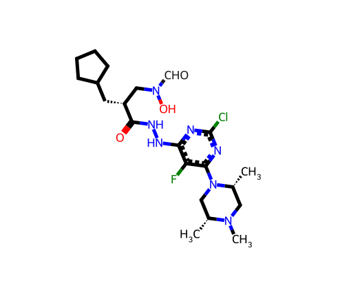 C[C@@H]1CN(c2nc(Cl)nc(NNC(=O)[C@H](CC3CCCC3)CN(O)C=O)c2F)[C@H](C)CN1C